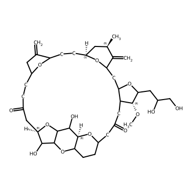 C=C1CC2CCC(=O)C[C@H]3OC4C(OC5CCC(CC(=O)CC6C(CC7O[C@@H](CCC1O2)C[C@@H](C)C7=C)OC(CC(O)CO)[C@@H]6OC)O[C@@H]5C4O)C3O